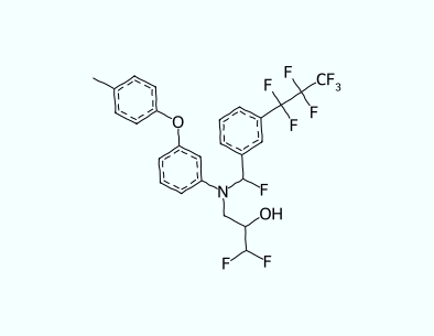 Cc1ccc(Oc2cccc(N(CC(O)C(F)F)C(F)c3cccc(C(F)(F)C(F)(F)C(F)(F)F)c3)c2)cc1